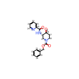 O=C(N[C@H]1CN(C(=O)OCc2ccccc2)CCC1=O)c1ccccn1